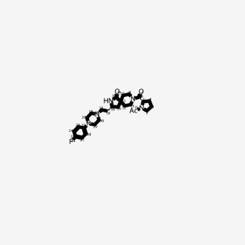 CC(=O)N1CCC[C@H]1C(=O)N1CCC2(CC1)C[C@H](CCN1CCN(c3ccc(F)cc3)CC1)NC2=O